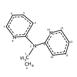 C.CN(c1ccccn1)c1ccccn1